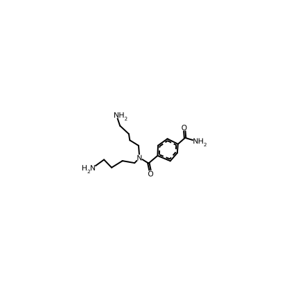 NCCCCN(CCCCN)C(=O)c1ccc(C(N)=O)cc1